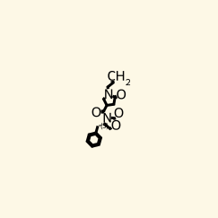 C=CCN1CC(C(=O)N2C(=O)OC[C@@H]2Cc2ccccc2)CC1=O